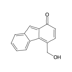 O=C1C=CC(CO)=C2C1=Cc1ccccc12